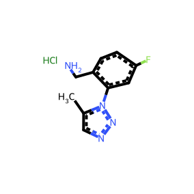 Cc1cnnn1-c1cc(F)ccc1CN.Cl